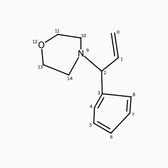 C=CC(c1ccccc1)N1CCOCC1